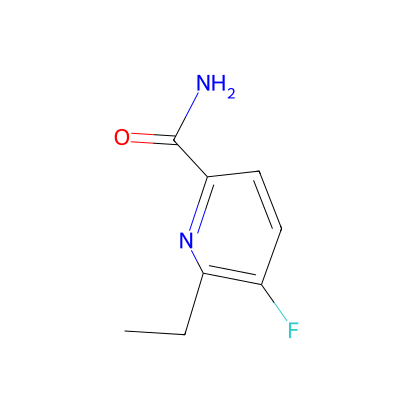 CCc1nc(C(N)=O)ccc1F